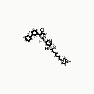 O=C(CCCCCN1CCNCC1)Nc1cncc(Nc2ncc(Cl)c(-c3cccc(-c4ccccc4)c3)n2)c1